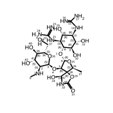 CN[C@@H]1[C@H](O[C@H]2[C@H](O[C@H]3[C@H](O)[C@@H](O)[C@H](NC(=N)N)[C@@H](O)[C@@H]3NC(=N)N)O[C@@H](C)[C@@]23OC(=O)N[C@H]3O)O[C@@H](CO)[C@H](O)[C@H]1O